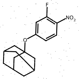 O=[N+]([O-])c1ccc(OC23CC4CC(CC(C4)C2)C3)cc1F